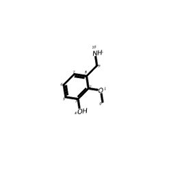 COc1c(O)cccc1C[NH]